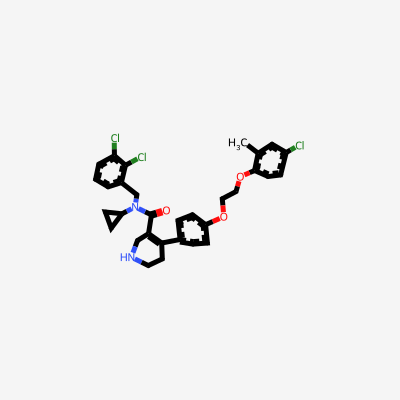 Cc1cc(Cl)ccc1OCCOc1ccc(C2=C(C(=O)N(Cc3cccc(Cl)c3Cl)C3CC3)CNCC2)cc1